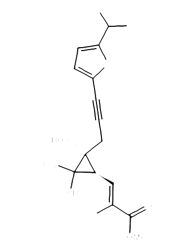 COC(=O)/C(F)=C/[C@H]1C(C)(C)[C@]1(CC#Cc1ccc(C(F)F)o1)C(=O)O